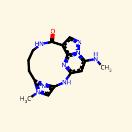 CNc1cc2nc3c(cnn13)C(=O)NCCCc1nc(cn1C)N2